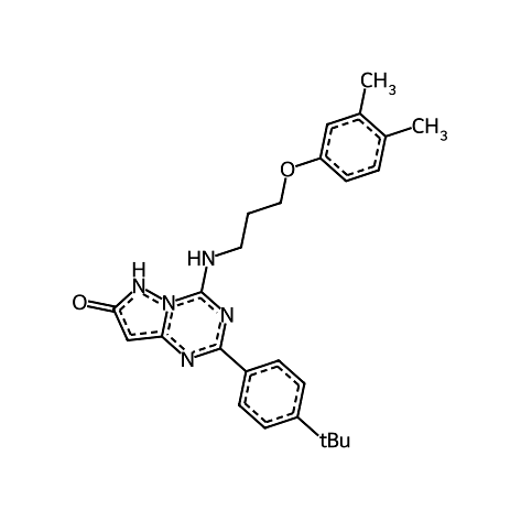 Cc1ccc(OCCCNc2nc(-c3ccc(C(C)(C)C)cc3)nc3cc(=O)[nH]n23)cc1C